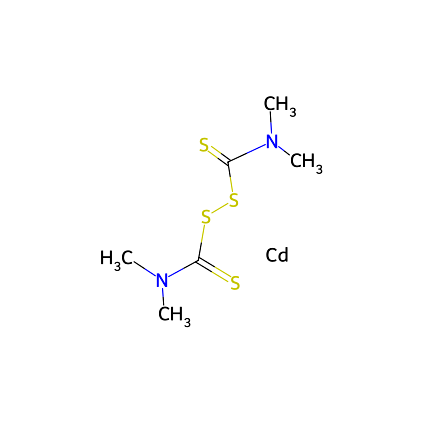 CN(C)C(=S)SSC(=S)N(C)C.[Cd]